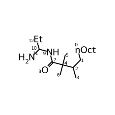 CCCCCCCCCC(C)C(C)(C)C(=O)NC(N)CC